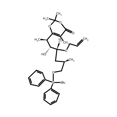 C=CCO[C@](C)(C[C@@H](C)CO[Si](c1ccccc1)(c1ccccc1)C(C)(C)C)[C@H](O)[C@@H](C)C1=C(C)C(=O)OC(C)(C)O1